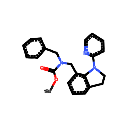 CC(C)(C)OC(=O)N(Cc1ccccc1)Cc1cccc2c1N(c1ccccn1)CC2